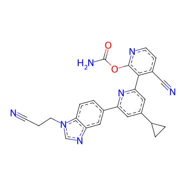 N#CCCn1cnc2cc(-c3cc(C4CC4)cc(-c4c(C#N)ccnc4OC(N)=O)n3)ccc21